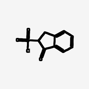 O=C1c2ccccc2CC1S(=O)(=O)Cl